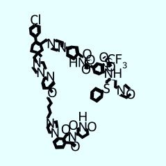 CC1(CN2CCN(c3ccc(OCCCCCN4CCN(c5cccc6c5C(=O)N(C5CCC(=O)NC5=O)C6=O)CC4)cn3)CC2)CCC(c2ccc(Cl)cc2)=C(CN2CCN(c3ccc(C(=O)NS(=O)(=O)c4ccc(N[C@H](CCN5CCOCC5)CSc5ccccc5)c(S(=O)(=O)C(F)(F)F)c4)cc3)CC2)C1